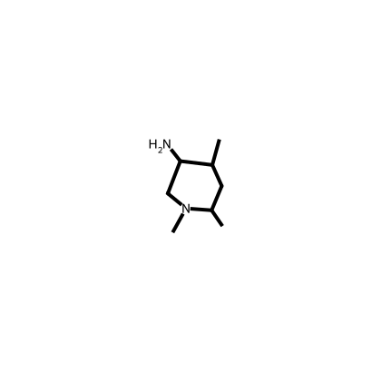 CC1CC(C)N(C)CC1N